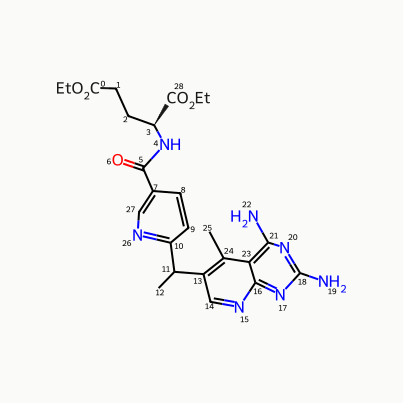 CCOC(=O)CC[C@H](NC(=O)c1ccc(C(C)c2cnc3nc(N)nc(N)c3c2C)nc1)C(=O)OCC